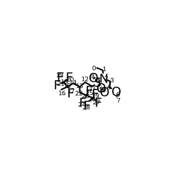 CCN(CC(=O)OC)S(=O)(=O)CCC(CC(C)(F)C(F)(F)F)CC(F)(F)C(F)(F)F